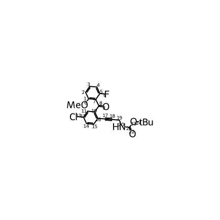 COc1cccc(F)c1C(=O)c1cc(Cl)ccc1C#CCNC(=O)OC(C)(C)C